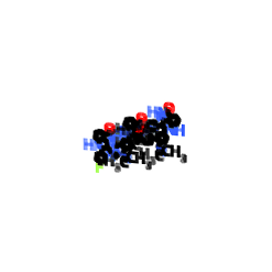 C=C(/C=C\C=C(/C)C1c2n[nH]c(=O)c3cccc(c23)NC1c1ccc(CN(C)C)c(Cn2ccnc2C2c3n[nH]c(=O)c4cccc(c34)NC2c2ccc(F)cc2)c1)c1cc(C2Nc3cccc4c(=O)[nH]nc(c34)C2c2ccc(CN(C)C)cc2)ccc1CN(C)C